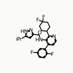 CC(C)c1cc(C(=O)Nc2c(-c3cc(F)ccc3F)ccnc2C2CCC(F)(F)CC2)n[nH]1